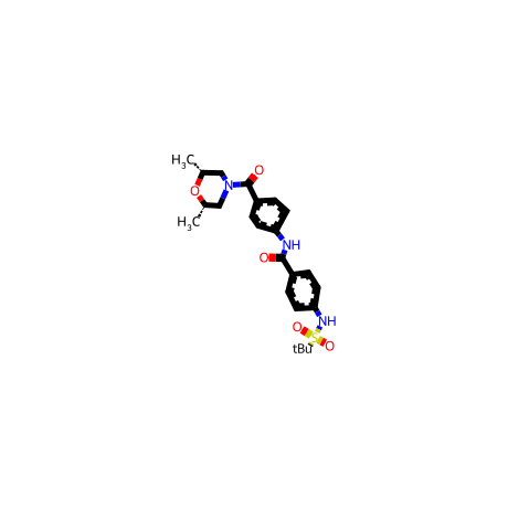 C[C@@H]1CN(C(=O)c2ccc(NC(=O)c3ccc(NS(=O)(=O)C(C)(C)C)cc3)cc2)C[C@H](C)O1